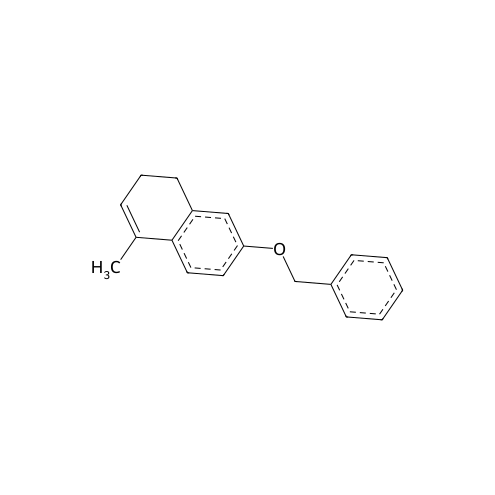 CC1=CCCc2cc(OCc3ccccc3)ccc21